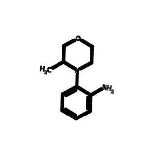 CC1COCCN1c1ccccc1N